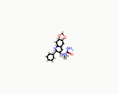 CCNC(N)=O.O=C(O)c1cc2cc3c(cc2nc1-c1ccccc1)OCO3